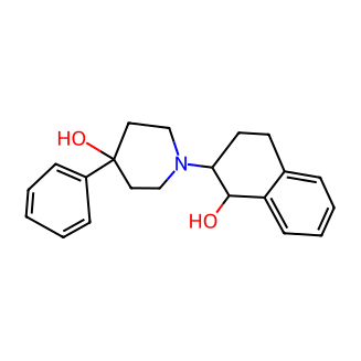 OC1c2ccccc2CCC1N1CCC(O)(c2ccccc2)CC1